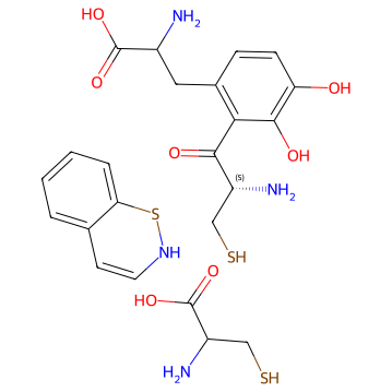 C1=Cc2ccccc2SN1.NC(CS)C(=O)O.NC(Cc1ccc(O)c(O)c1C(=O)[C@H](N)CS)C(=O)O